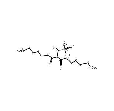 CCCCCCCCCCCCCCCC(=O)[C](C(=O)CCCCCCCCCCCCCCC)C(Br)P(=O)(O)O